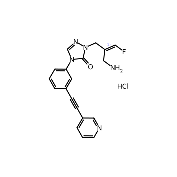 Cl.NC/C(=C\F)Cn1ncn(-c2cccc(C#Cc3cccnc3)c2)c1=O